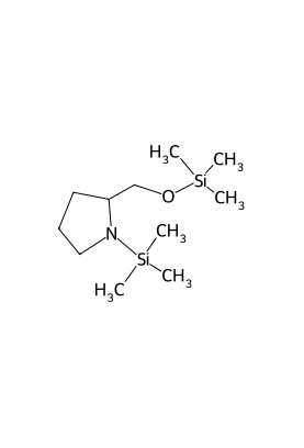 C[Si](C)(C)OCC1CCCN1[Si](C)(C)C